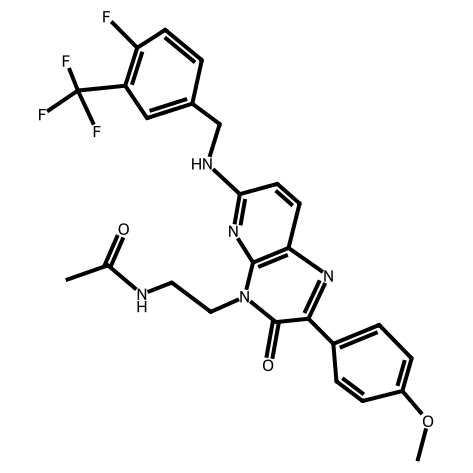 COc1ccc(-c2nc3ccc(NCc4ccc(F)c(C(F)(F)F)c4)nc3n(CCNC(C)=O)c2=O)cc1